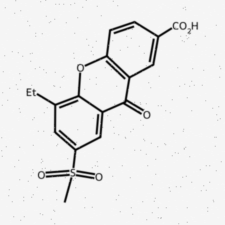 CCc1cc(S(C)(=O)=O)cc2c(=O)c3cc(C(=O)O)ccc3oc12